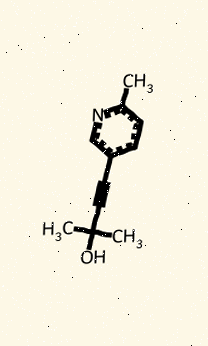 Cc1ccc(C#CC(C)(C)O)cn1